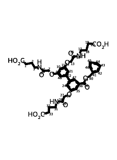 O=C(O)CCCNC(=O)COc1cc(OCC(=O)NCCCC(=O)O)cc(-c2cc(OCC(=O)NCCCC(=O)O)cc(C(=O)OCc3ccccc3)c2)c1